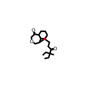 CCC(C)(CC)C(=O)CCC1C2CCC3C(=O)COCC1C3C2